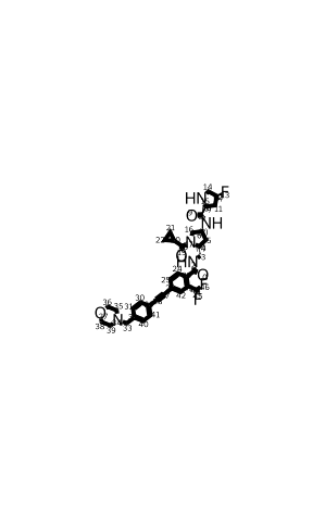 O=C(NC[C@H]1C[C@@H](NC(=O)[C@@H]2C[C@H](F)CN2)CN1C(=O)C1CC1)c1ccc(C#Cc2ccc(CN3CCOCC3)cc2)cc1C(F)F